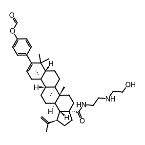 C=C(C)[C@@H]1CC[C@]2(C(=O)NCCNCCO)CC[C@]3(C)[C@H](CC[C@@H]4[C@@]5(C)CC=C(c6ccc(OC=O)cc6)C(C)(C)[C@@H]5CC[C@]43C)[C@@H]12